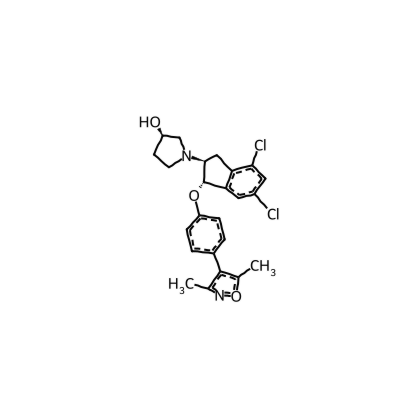 Cc1noc(C)c1-c1ccc(O[C@H]2c3cc(Cl)cc(Cl)c3C[C@@H]2N2CC[C@@H](O)C2)cc1